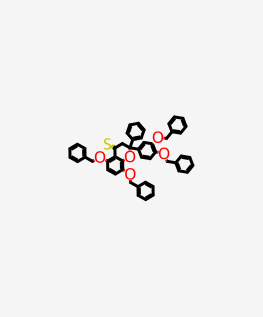 S=C1CC(c2ccccc2)(c2ccc(OCc3ccccc3)c(OCc3ccccc3)c2)Oc2c(OCc3ccccc3)ccc(OCc3ccccc3)c21